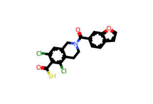 O=C(S)c1c(Cl)cc2c(c1Cl)CCN(C(=O)c1ccc3ccoc3c1)C2